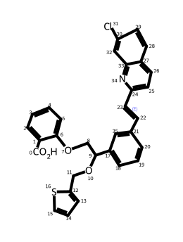 O=C(O)c1ccccc1OCC(OCc1cccs1)c1cccc(/C=C/c2ccc3ccc(Cl)cc3n2)c1